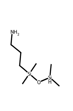 C[SiH](C)O[Si](C)(C)CCCN